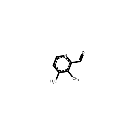 Cc1ccnc(C=O)c1C